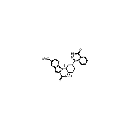 COc1ccc2c(c1)cc1n2[C@H]2C[C@@H](c3n[nH]c(=O)c4ccccc34)CC[C@@H]2NC1=O